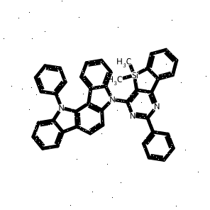 C[Si]1(C)c2ccccc2-c2nc(-c3ccccc3)nc(-n3c4ccccc4c4c3ccc3c5ccccc5n(-c5ccccc5)c34)c21